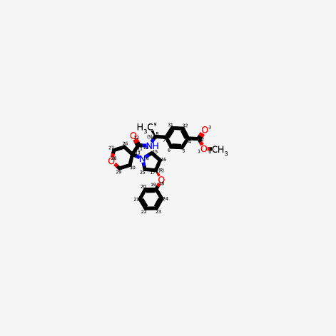 COC(=O)c1ccc([C@H](C)NC(=O)C2(N3CC[C@@H](Oc4ccccc4)C3)CCOCC2)cc1